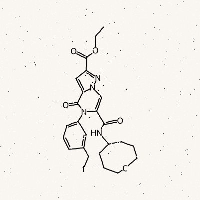 CCOC(=O)c1cc2c(=O)n(-c3cccc(CI)c3)c(C(=O)NC3CCCCCCC3)cn2n1